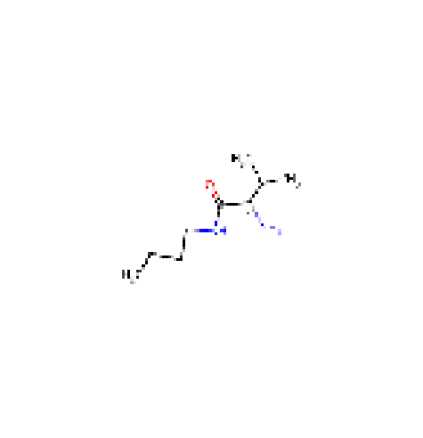 CCCCNC(=O)[C@@H](N)C(C)C